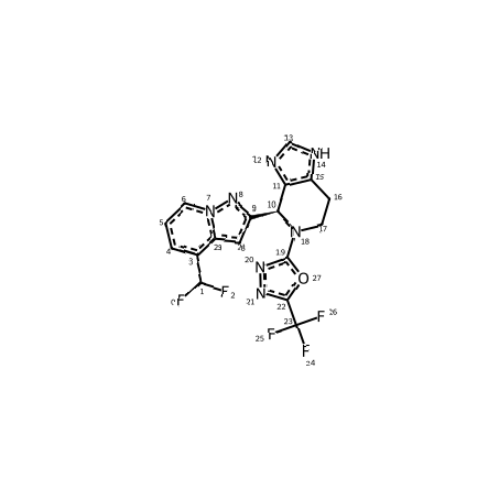 FC(F)c1cccn2nc([C@H]3c4nc[nH]c4CCN3c3nnc(C(F)(F)F)o3)cc12